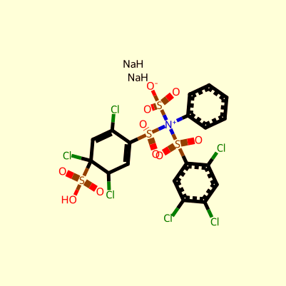 O=S(=O)(O)C1(Cl)C=C(Cl)C(S(=O)(=O)[N+](c2ccccc2)(S(=O)(=O)[O-])S(=O)(=O)c2cc(Cl)c(Cl)cc2Cl)=CC1Cl.[NaH].[NaH]